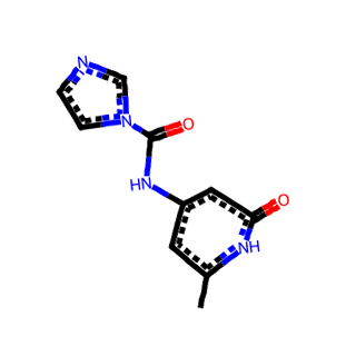 Cc1cc(NC(=O)n2ccnc2)cc(=O)[nH]1